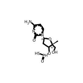 C[C@]1(CO)O[C@@H](n2ccc(N)nc2=O)CC1O[PH](=O)S